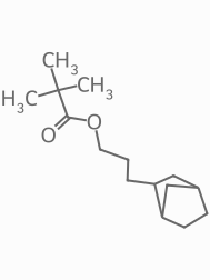 CC(C)(C)C(=O)OCCCC1CC2CCC1C2